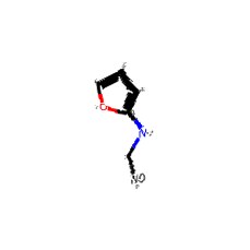 O=NC[N]c1ccco1